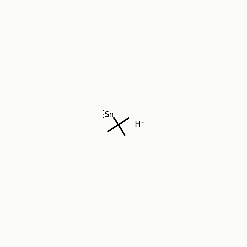 C[C](C)(C)[Sn].[H-]